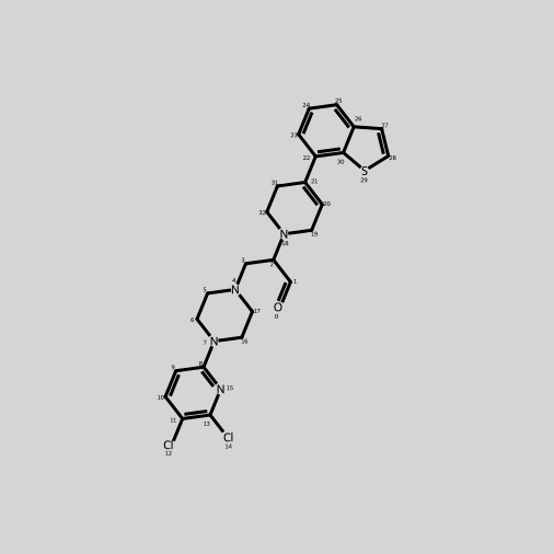 O=CC(CN1CCN(c2ccc(Cl)c(Cl)n2)CC1)N1CC=C(c2cccc3ccsc23)CC1